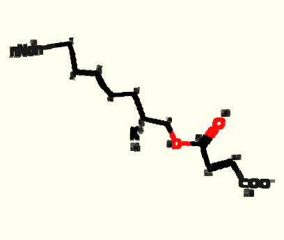 CCCCCCCCCCCCCCCCOC(=O)C=CC(=O)[O-].[K+]